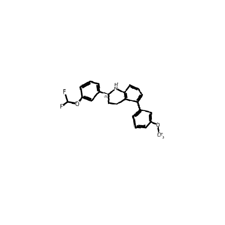 FC(F)Oc1cccc([C@@H]2CCc3c(cccc3-c3cccc(OC(F)(F)F)c3)N2)c1